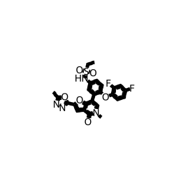 CCS(=O)(=O)Nc1ccc(Oc2ccc(F)cc2F)c(-c2cn(C)c(=O)c3cc(-c4nnc(C)o4)oc23)c1